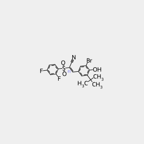 CC(C)(C)c1cc(/C=C(\C#N)S(=O)(=O)c2ccc(F)cc2F)cc(Br)c1O